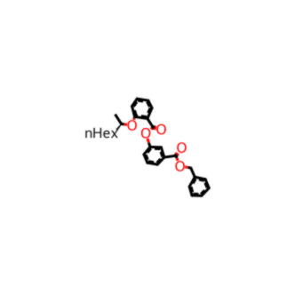 CCCCCC[C@@H](C)Oc1ccccc1C(=O)Oc1cccc(C(=O)OCc2ccccc2)c1